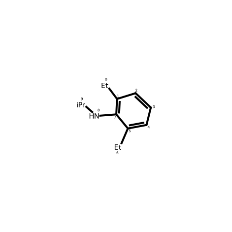 CCc1cccc(CC)c1NC(C)C